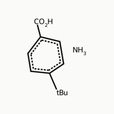 CC(C)(C)c1ccc(C(=O)O)cc1.N